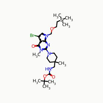 Cn1c(N2CCC(C)(CNC(=O)OC(C)(C)C)CC2)nc2c(c(Br)cn2COCC[Si](C)(C)C)c1=O